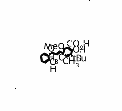 COC1C(C(=O)O)=C(O)C(C(C)(C)C)=C(C)C1(C)C=CC(=O)c1ccccc1O